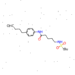 CC(C)(C)S(=O)(=O)NCCCCC(=O)Nc1ccc(CCCC=O)cc1